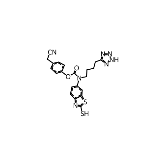 N#CCc1ccc(OC(=O)N(CCCCc2nn[nH]n2)c2ccc3nc(S)sc3c2)cc1